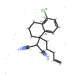 C=CCCCC1(C(C#N)C#N)CCCc2c(Cl)cccc21